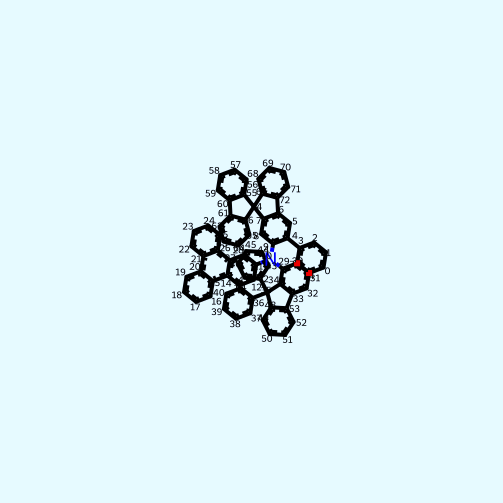 c1ccc(-c2cc3c(cc2N(c2ccc4c5ccccc5c5ccccc5c4c2)c2cccc4c2C(c2ccccc2)(c2ccccc2)c2ccccc2-4)C2(c4ccccc4-c4ccccc42)c2ccccc2-3)cc1